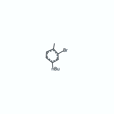 CCCCc1ccc(C)c(Br)c1